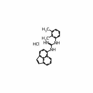 Cc1cccc(NC(=N)Nc2ccc3c4c(cccc24)C=C3)c1C.Cl